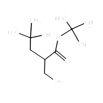 CCC(CC(C)(C)C)C(=O)OC(C)(C)C